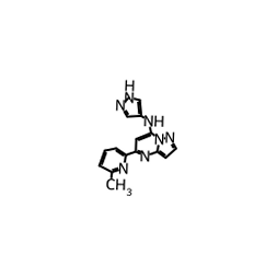 Cc1cccc(-c2cc(Nc3cn[nH]c3)n3nccc3n2)n1